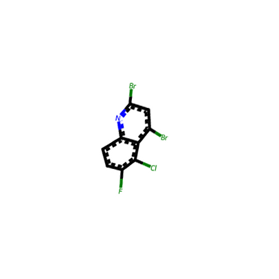 Fc1ccc2nc(Br)cc(Br)c2c1Cl